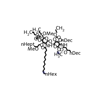 C=CCOC(=O)O[C@@H]1[C@H](OCCCCCCCCCC)[C@@H](NC(=O)CC(=O)CCCCCCCCCCC)[C@@H](O/C=C\C)O[C@@H]1COC1O[C@H](COC)[C@H](OP(=O)(OCC=C)OCC=C)[C@H](OCCC(CCCCCCC)OC)[C@H]1NC(=O)CCCCCCCCC/C=C\CCCCCC